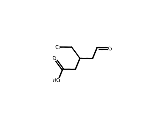 O=CCC(CCl)CC(=O)O